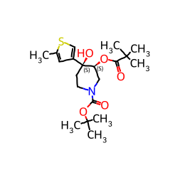 Cc1cc([C@@]2(O)CCN(C(=O)OC(C)(C)C)C[C@@H]2OC(=O)C(C)(C)C)cs1